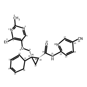 CCc1nc(C)ncc1OC[C@@]1(C2C=CC=CC2)C[C@H]1C(=O)Nc1ccc(C#N)cn1